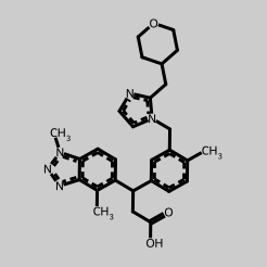 Cc1ccc(C(CC(=O)O)c2ccc3c(nnn3C)c2C)cc1Cn1ccnc1CC1CCOCC1